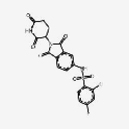 O=C1CCC(N2C(=O)c3ccc(NS(=O)(=O)c4ccc(F)cc4Cl)cc3C2=O)C(=O)N1